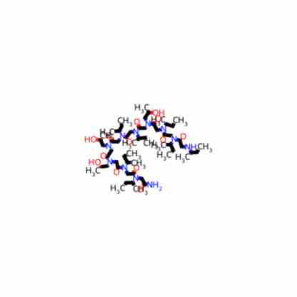 CCC(C)NCC(=O)N(CC(=O)N(CC(=O)N(CC(=O)N(CC(=O)N(CC(=O)N(CC(=O)N(CC(=O)N(CC(=O)N(CC(N)=O)C(C)CC)C(C)CC)CC(C)O)CC(C)O)C(C)CC)C(C)CC)CC(C)O)C(C)CC)C(C)CC